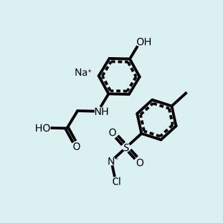 Cc1ccc(S(=O)(=O)[N-]Cl)cc1.O=C(O)CNc1ccc(O)cc1.[Na+]